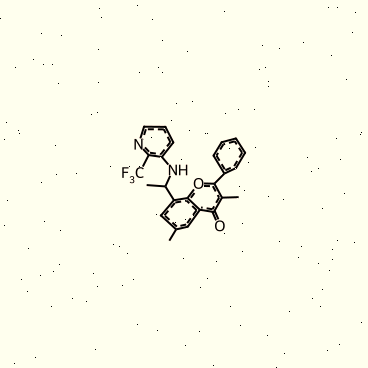 Cc1cc(C(C)Nc2cccnc2C(F)(F)F)c2oc(-c3ccccc3)c(C)c(=O)c2c1